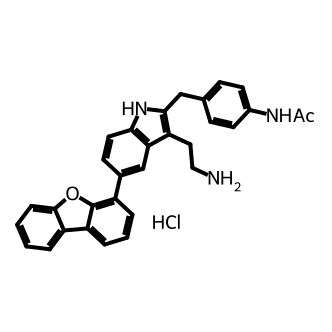 CC(=O)Nc1ccc(Cc2[nH]c3ccc(-c4cccc5c4oc4ccccc45)cc3c2CCN)cc1.Cl